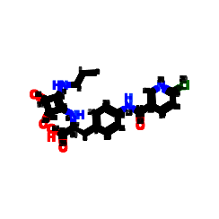 CCCNc1c(N[C@@H](Cc2ccc(NC(=O)c3ccc(Cl)nc3)cc2)C(=O)O)c(=O)c1=O